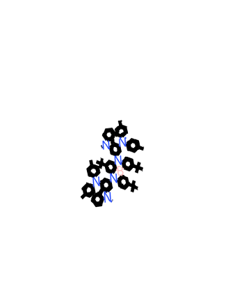 Cc1ccc(N(c2ccc(C)cc2)c2cc(N3c4ccc(C(C)(C)C)cc4B4c5cc(C(C)(C)C)ccc5N(c5cc(N(c6ccc(C)cc6)c6ccc(C)cc6)c6c7ccccc7n(C)c6c5)c5cc(C(C)(C)C)cc3c54)cc3c2c2ccccc2n3C)cc1